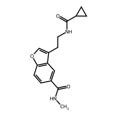 CNC(=O)c1ccc2occ(CCNC(=O)C3CC3)c2c1